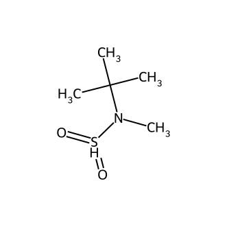 CN([SH](=O)=O)C(C)(C)C